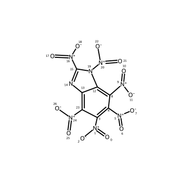 O=[N+]([O-])c1c([N+](=O)[O-])c([N+](=O)[O-])c2c(nc([N+](=O)[O-])n2[N+](=O)[O-])c1[N+](=O)[O-]